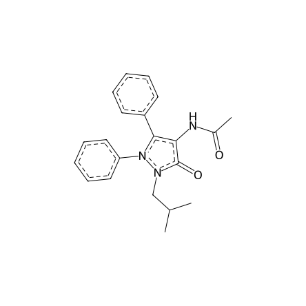 CC(=O)Nc1c(-c2ccccc2)n(-c2ccccc2)n(CC(C)C)c1=O